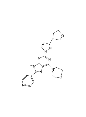 Cn1c(-c2ccncc2)nc2c(N3CCOCC3)nc(-n3ccc(C4CCOC4)n3)nc21